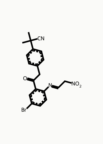 CC(C)(C#N)c1ccc(CC(=O)c2cc(Br)ccc2/N=C/C[N+](=O)[O-])cc1